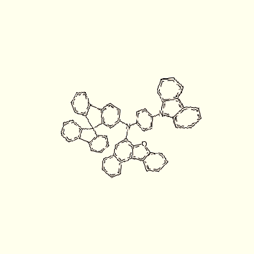 c1ccc2c(c1)-c1ccccc1C21c2ccccc2-c2ccc(N(c3ccc(-n4c5ccccc5c5ccccc54)cc3)c3cc4ccccc4c4c3oc3ccccc34)cc21